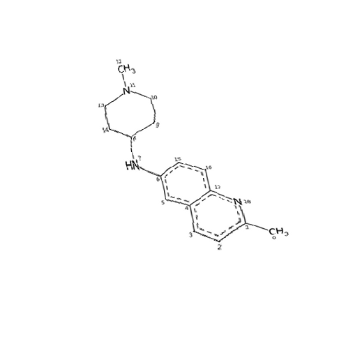 Cc1ccc2cc(NC3CCN(C)CC3)ccc2n1